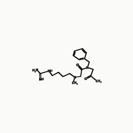 CC(=O)CN(Cc1ccccc1)C(=O)CN(C)CCCCNC(=N)N